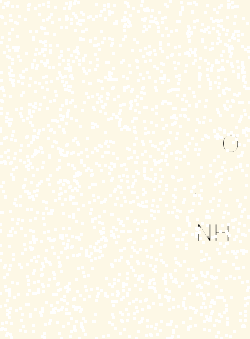 C=CC1CC(C)CCNC1=O